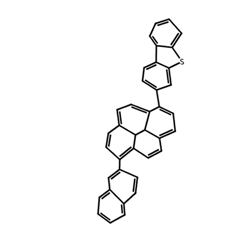 C1=CC2=C(c3ccc4ccccc4c3)C=CC3=CC=C4C(c5ccc6c(c5)sc5ccccc56)=CC=C1C4C32